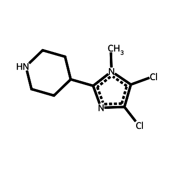 Cn1c(C2CCNCC2)nc(Cl)c1Cl